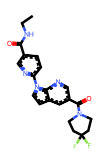 CCNC(=O)c1ccc(-n2ccc3cc(C(=O)N4CCC(F)(F)CC4)cnc32)nc1